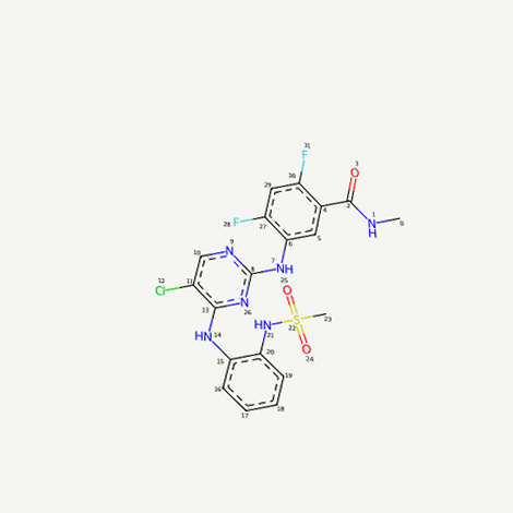 CNC(=O)c1cc(Nc2ncc(Cl)c(Nc3ccccc3NS(C)(=O)=O)n2)c(F)cc1F